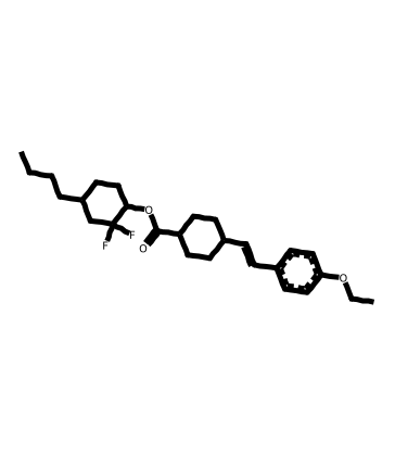 CCCCC1CCC(OC(=O)C2CCC(/C=C/c3ccc(OCC)cc3)CC2)C(F)(F)C1